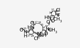 Cc1c(NC(=O)OCCN(C)C(=O)C2CCCCC(=O)Nc3cc(NC=O)ccc3-c3nc2[nH]c3Cl)ccc(Cl)c1F